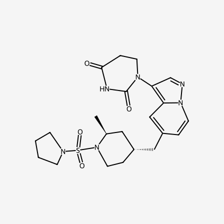 C[C@H]1C[C@H](Cc2ccn3ncc(N4CCC(=O)NC4=O)c3c2)CCN1S(=O)(=O)N1CCCC1